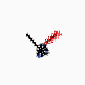 CCCCCCCCCCCCCC(CC)C(C1CC(C)(C)N(C)C(C)(C)C1)(C1CC(C)(C)N(C)C(C)(C)C1)C1CC(C)(C)N(C)C(C)(C)C1.O=C(O)O.O=C(O)O.O=C(O)O.O=C(O)O